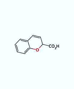 O=C(O)C1C=Cc2ccccc2O1